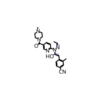 C/C=N\N(/C(O)=C/c1ccc(C#N)cc1C)c1ccc(C(=O)N2CCN(C)CC2)cn1